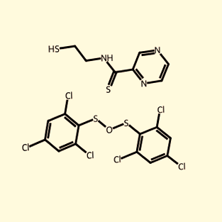 Clc1cc(Cl)c(SOSc2c(Cl)cc(Cl)cc2Cl)c(Cl)c1.S=C(NCCS)c1cnccn1